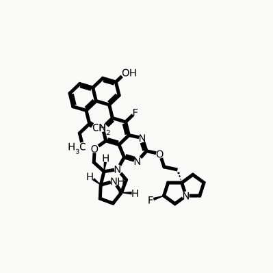 C=C(CC)c1cccc2cc(O)cc(-c3nc4c5c(nc(OCC[C@]67CCCN6C[C@@H](F)C7)nc5c3F)N3C[C@@H]5CC[C@@H](N5)[C@@H]3CO4)c12